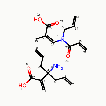 C=CCC(N)(CC=C)C(=C)C(=O)O.C=CCN(C=C(C)C(=O)O)C(=O)C=C